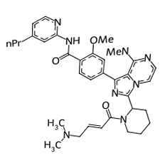 CCCc1ccnc(NC(=O)c2ccc(-c3nc(C4CCCCN4C(=O)/C=C/CN(C)C)n4ccnc(NC)c34)cc2OC)c1